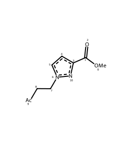 COC(=O)c1ccn(CCC(C)=O)n1